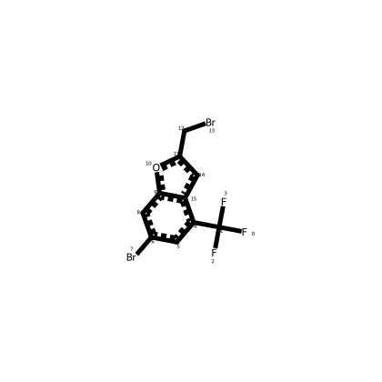 FC(F)(F)c1cc(Br)cc2oc(CBr)cc12